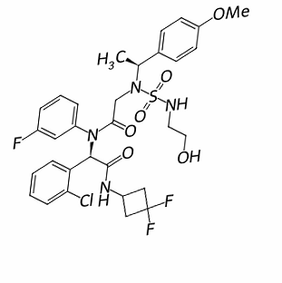 COc1ccc([C@H](C)N(CC(=O)N(c2cccc(F)c2)[C@@H](C(=O)NC2CC(F)(F)C2)c2ccccc2Cl)S(=O)(=O)NCCO)cc1